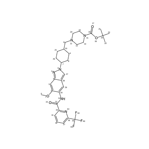 COc1cc2nn(C3CCC(CN4CCN(C(=O)OC(C)(C)C)CC4)CC3)cc2cc1NC(=O)c1cccc(C(F)(F)F)n1